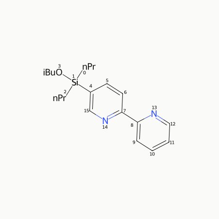 CCC[Si](CCC)(OCC(C)C)c1ccc(-c2ccccn2)nc1